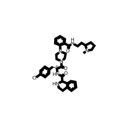 CN1CCCC1CCNC(=O)c1ccccc1N1CCN(C(=O)[C@@H](Cc2ccc(Cl)cc2)NC(=O)C2N[CH]Cc3ccccc32)CC1